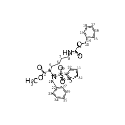 COC(=O)C(CCCCNC(=O)OCc1ccccc1)N(Cc1ccccc1)S(=O)(=O)c1cccs1